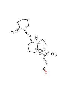 C=C1CCCCC1=CC=C1CCC[C@]2(C)[C@@H]([C@H](C)C=CC=O)CC[C@@H]12